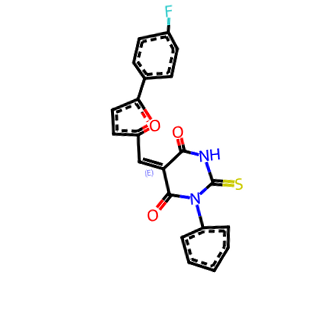 O=C1NC(=S)N(c2ccccc2)C(=O)/C1=C/c1ccc(-c2ccc(F)cc2)o1